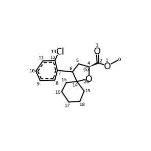 COC(=O)[C@@H]1CC(c2ccccc2Cl)C2(CCCCC2)O1